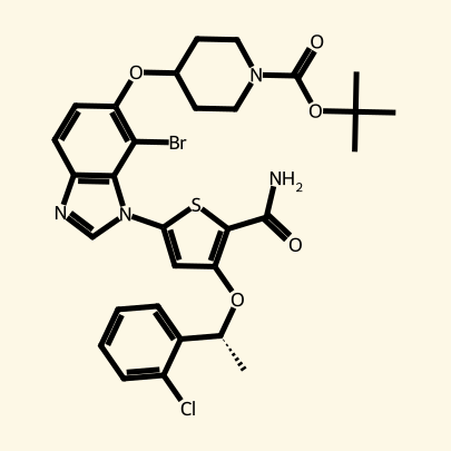 C[C@@H](Oc1cc(-n2cnc3ccc(OC4CCN(C(=O)OC(C)(C)C)CC4)c(Br)c32)sc1C(N)=O)c1ccccc1Cl